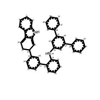 C1=c2[nH]c3ccccc3c2=CCC1c1cccc(-c2ccccc2Nc2cc(-c3ccccc3)cc(-c3ccccc3)c2)c1